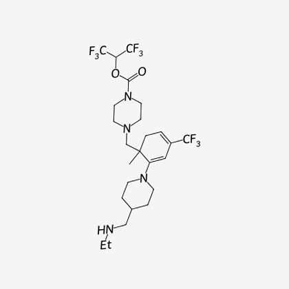 CCNCC1CCN(C2=CC(C(F)(F)F)=CCC2(C)CN2CCN(C(=O)OC(C(F)(F)F)C(F)(F)F)CC2)CC1